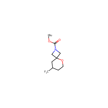 CC(C)(C)OC(=O)N1CC2(CC(C(F)(F)F)CCO2)C1